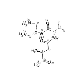 CC(C)[C@H](NC(=O)C[C@H](N)C(=O)O)C(=O)NC(CN)CN